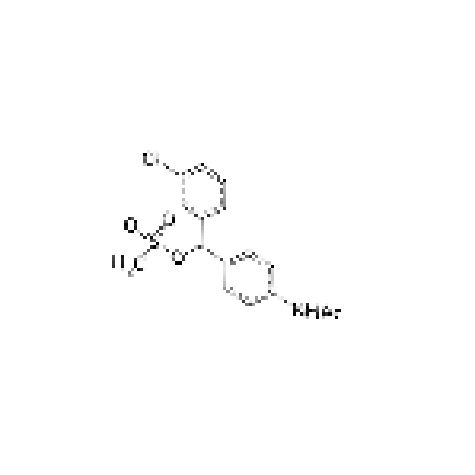 CC(=O)Nc1ccc(C(OS(C)(=O)=O)c2cccc(Cl)c2)cc1